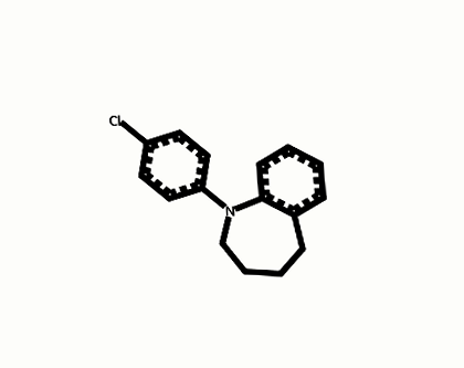 Clc1ccc(N2CCCCc3ccccc32)cc1